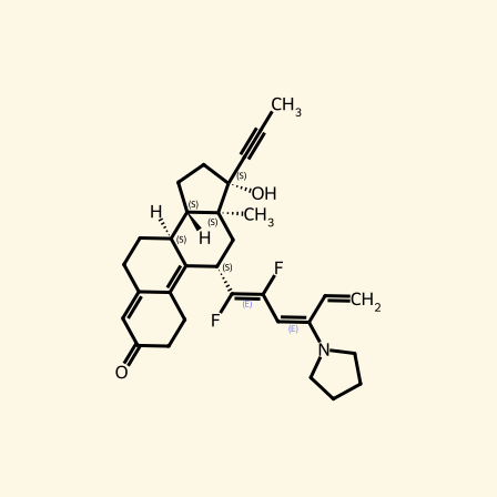 C=C/C(=C\C(F)=C(/F)[C@H]1C[C@@]2(C)[C@@H](CC[C@@]2(O)C#CC)[C@@H]2CCC3=CC(=O)CCC3=C21)N1CCCC1